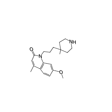 COc1ccc2c(C)cc(=O)n(CCCC3(C)CCNCC3)c2c1